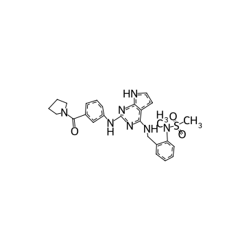 CN(c1ccccc1CNc1nc(Nc2cccc(C(=O)N3CCCC3)c2)nc2[nH]ccc12)S(C)(=O)=O